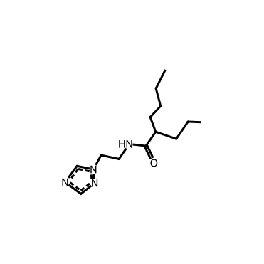 CCCCC(CCC)C(=O)NCCn1cncn1